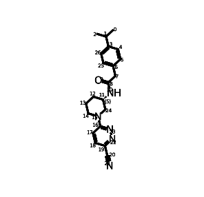 CC(C)c1ccc(CC(=O)N[C@H]2CCCN(c3ccc(C#N)nn3)C2)cc1